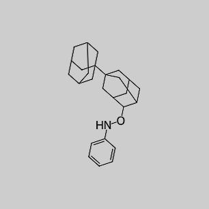 c1ccc(NOC2C3CC4CC2CC(C25CC6CC(CC(C6)C2)C5)(C4)C3)cc1